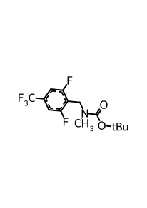 CN(Cc1c(F)cc(C(F)(F)F)cc1F)C(=O)OC(C)(C)C